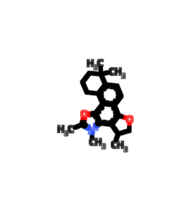 Cc1oc2c3c4c(ccc3c3c(c2[n+]1C)C(C)CO3)C(C)(C)CCC4